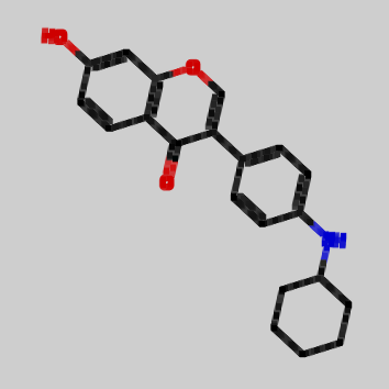 O=c1c(-c2ccc(NC3CCCCC3)cc2)coc2cc(O)ccc12